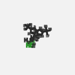 CC(C)(C)C1=CC[C]([Hf]([CH3])([CH3])(=[SiH2])[C]2=CC(C(C)(C)C)=CC2)=C1.Cl.Cl